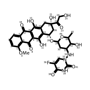 COc1cccc2c1C(=O)c1c(O)c3c(c(O)c1C2=O)C[C@@](O)(C(=O)CO)C[C@@H]3OC1CC(Nn2cc(F)c(=O)[nH]c2=O)C(O)C(C)O1